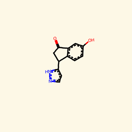 O=C1CC(c2ccn[nH]2)c2ccc(O)cc21